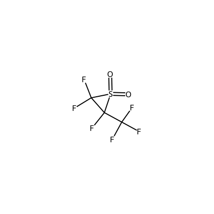 O=S1(=O)C(F)(F)C1(F)C(F)(F)F